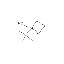 CC(C)(C)[Si]1(O)COC1